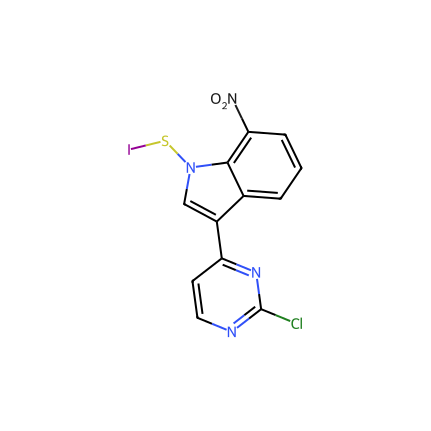 O=[N+]([O-])c1cccc2c(-c3ccnc(Cl)n3)cn(SI)c12